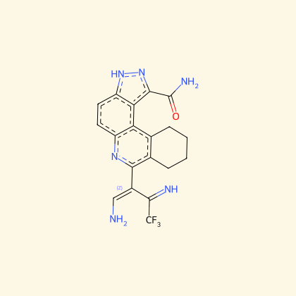 N=C(/C(=C\N)c1nc2ccc3[nH]nc(C(N)=O)c3c2c2c1CCCC2)C(F)(F)F